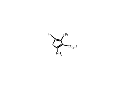 CCCc1c(CC)sc(N)c1C(=O)OCC